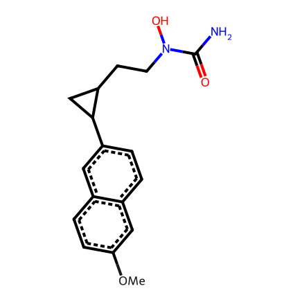 COc1ccc2cc(C3CC3CCN(O)C(N)=O)ccc2c1